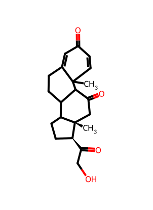 CC12C=CC(=O)C=C1CCC1C2C(=O)C[C@@]2(C)C1CC[C@@H]2C(=O)CO